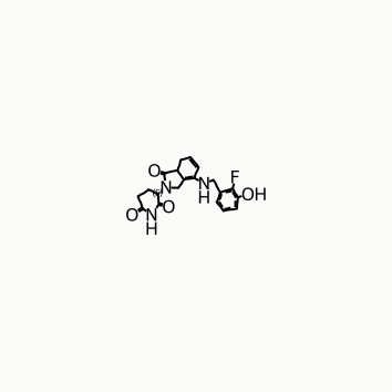 O=C1CC[C@H](N2CC3=C(NCc4cccc(O)c4F)C=CCC3C2=O)C(=O)N1